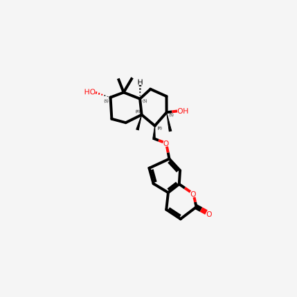 CC1(C)[C@H]2CC[C@](C)(O)[C@@H](COc3ccc4ccc(=O)oc4c3)[C@]2(C)CC[C@@H]1O